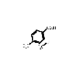 FC(F)(F)Cl.O=C(O)c1ccc(C(=O)O)cc1